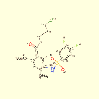 COc1cc(OC)c(C(=O)CCCCCl)cc1NS(=O)(=O)c1ccc(F)c(F)c1